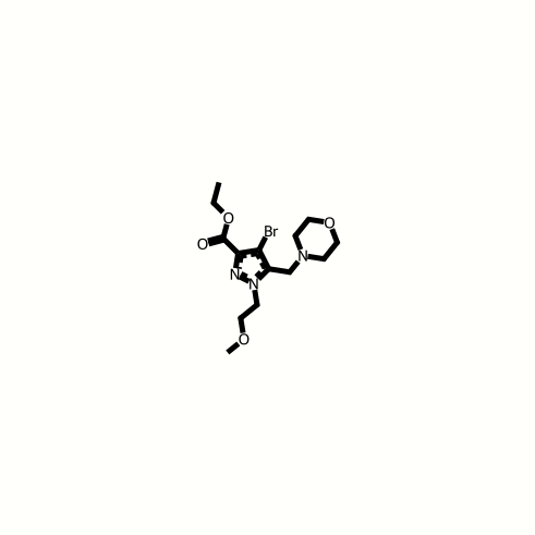 CCOC(=O)c1nn(CCOC)c(CN2CCOCC2)c1Br